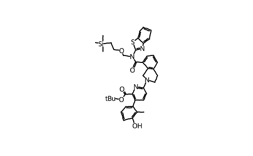 Cc1c(O)cccc1-c1ccc(N2CCc3cccc(C(=O)N(COCC[Si](C)(C)C)c4nc5ccccc5s4)c3C2)nc1C(=O)OC(C)(C)C